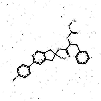 CC(C)(C)OC(=O)N[C@@H](Cc1ccccc1)C(=O)NC1(C(=O)O)Cc2ccc(-c3ccc(Cl)cc3)cc2C1